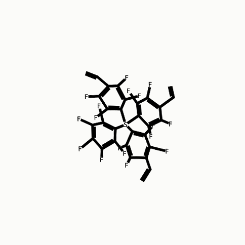 C=Cc1c(F)c(F)c(S(c2c(F)c(F)c(F)c(F)c2F)(c2c(F)c(F)c(C=C)c(F)c2F)c2c(F)c(F)c(C=C)c(F)c2F)c(F)c1F